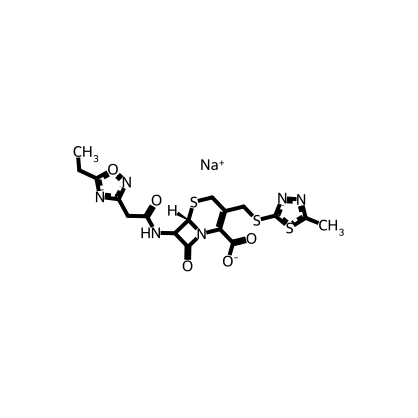 CCc1nc(CC(=O)NC2C(=O)N3C(C(=O)[O-])=C(CSc4nnc(C)s4)CS[C@@H]23)no1.[Na+]